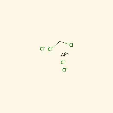 ClCCl.[Al+3].[Cl-].[Cl-].[Cl-]